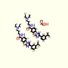 CCN(CC)CCCNC(=O)c1ccc2c(c1)sc1nc(-c3cccc(C(C)C)c3)cn12.CCN(CC)CCCNC(=O)c1ccc2c(c1)sc1nc(-c3cccc(C(C)C)c3)cn12.O=CO